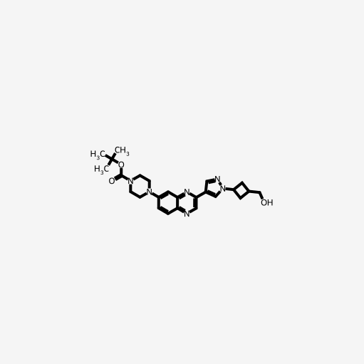 CC(C)(C)OC(=O)N1CCN(c2ccc3ncc(-c4cnn(C5CC(CO)C5)c4)nc3c2)CC1